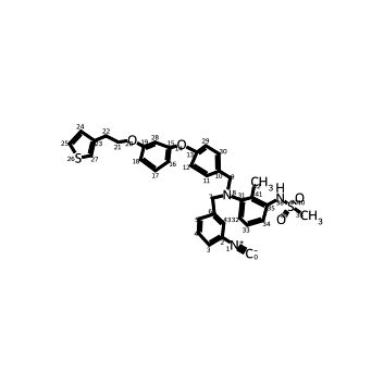 [C-]#[N+]c1cccc(CN(Cc2ccc(Oc3cccc(OCCc4ccsc4)c3)cc2)c2cccc(NS(C)(=O)=O)c2C)c1